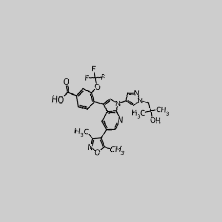 Cc1noc(C)c1-c1cnc2c(c1)c(-c1ccc(C(=O)O)cc1OC(F)(F)F)cn2-c1cnn(CC(C)(C)O)c1